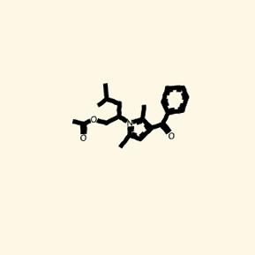 CC(=O)OCC(CC(C)C)n1c(C)cc(C(=O)c2ccccc2)c1C